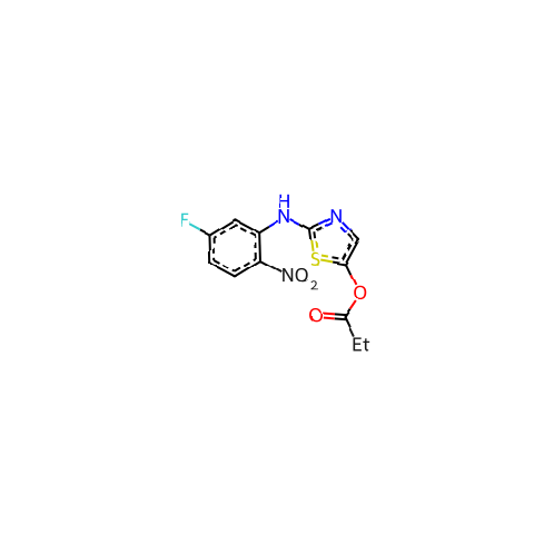 CCC(=O)Oc1cnc(Nc2cc(F)ccc2[N+](=O)[O-])s1